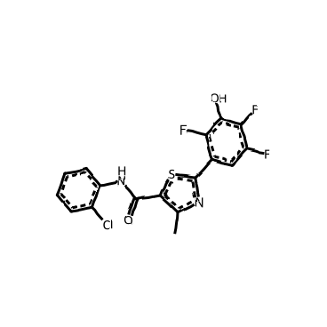 Cc1nc(-c2cc(F)c(F)c(O)c2F)sc1C(=O)Nc1ccccc1Cl